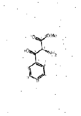 COC(=O)[C@@H](N)C(=O)c1ccccc1